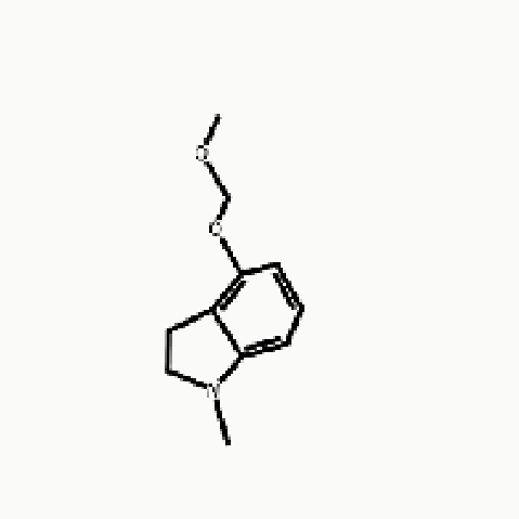 COCOc1cccc2c1CCN2C